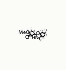 COc1ccc(C(=O)NC(C)c2ccc(C)cc2)cc1Cl